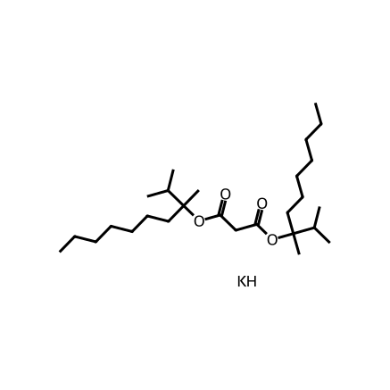 CCCCCCCC(C)(OC(=O)CC(=O)OC(C)(CCCCCCC)C(C)C)C(C)C.[KH]